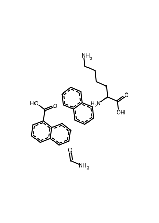 NC=O.NCCCCC(N)C(=O)O.O=C(O)c1cccc2ccccc12.c1ccc2ccccc2c1